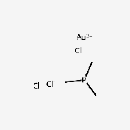 CP(C)C.[Au+3].[Cl-].[Cl-].[Cl-]